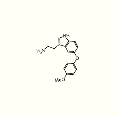 COc1ccc(Oc2ccc3[nH]cc(CCN)c3c2)cc1